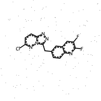 Fc1cc2cc(Cc3nnc4ccc(Cl)nn34)ccc2nc1F